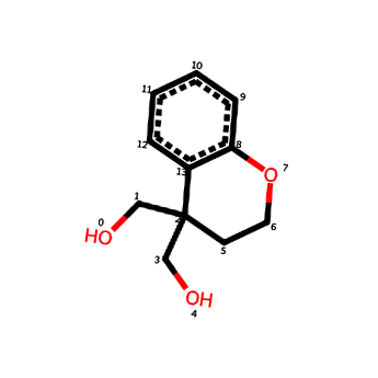 OCC1(CO)CCOc2ccccc21